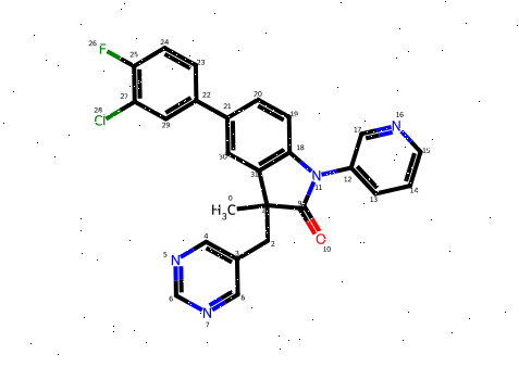 CC1(Cc2cncnc2)C(=O)N(c2cccnc2)c2ccc(-c3ccc(F)c(Cl)c3)cc21